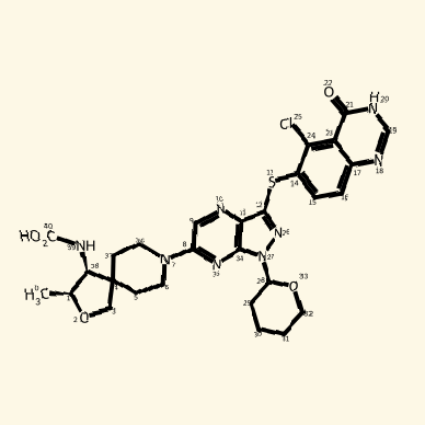 C[C@@H]1OCC2(CCN(c3cnc4c(Sc5ccc6nc[nH]c(=O)c6c5Cl)nn(C5CCCCO5)c4n3)CC2)[C@@H]1NC(=O)O